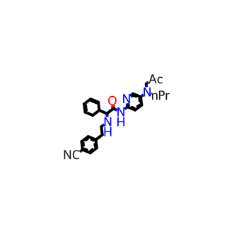 CCCN(CC(C)=O)c1ccc(NC(=O)C(NCCc2ccc(C#N)cc2)C2C=CC=CC2)nc1